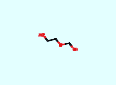 O[CH]CO[CH]O